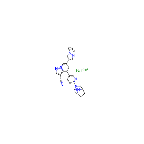 Cl.Cl.Cn1cc(-c2cc(-c3ccc(N4CC5CCC(C4)N5)nc3)c3c(C#N)cnn3c2)cn1